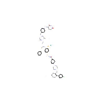 CC1CN(Cc2ccc(NC3CCC(=O)NC3=O)cc2)CC(C)N1CC[C@H](CSc1ccccc1)Nc1ccc(S(=O)(=O)NC(=O)c2ccc(N3CCN(CC4=C(c5ccc(Cl)cc5)CCC(C)(C)C4)CC3)cc2)cc1S(=O)(=O)C(F)(F)F